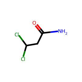 NC(=O)CC(Cl)Cl